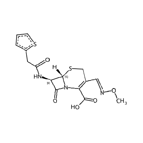 CON=CC1=C(C(=O)O)N2C(=O)[C@@H](NC(=O)Cc3cccs3)[C@@H]2SC1